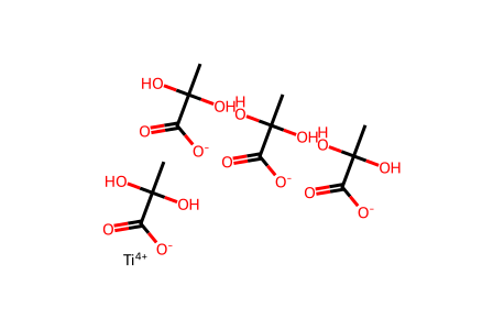 CC(O)(O)C(=O)[O-].CC(O)(O)C(=O)[O-].CC(O)(O)C(=O)[O-].CC(O)(O)C(=O)[O-].[Ti+4]